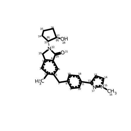 Cc1cc2c(cc1Cc1ccc(-c3ccn(C)n3)cc1)C(=O)N([C@@H]1CCC[C@H]1O)C2